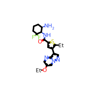 CCOc1cnc2c(-c3cc(C(=O)N[C@@H]4[C@H](N)CCCC4(F)F)sc3CC)cnn2c1